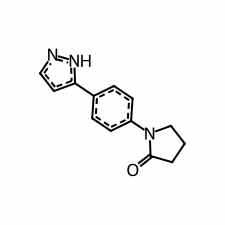 O=C1CCCN1c1ccc(-c2ccn[nH]2)cc1